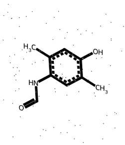 Cc1cc(NC=O)c(C)cc1O